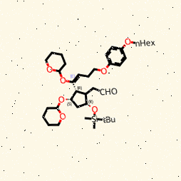 CCCCCCOc1ccc(OCC/C=C(/OC2CCCCO2)[C@@H]2C(CC=O)[C@H](O[Si](C)(C)C(C)(C)C)C[C@@H]2OC2CCCCO2)cc1